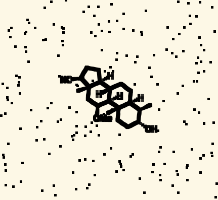 CO[C@H]1C[C@]2(C)[C@@H](C#N)CC[C@H]2[C@@H]2CC[C@H]3[C@@H](C)[C@H](O)CC[C@]3(C)[C@H]21